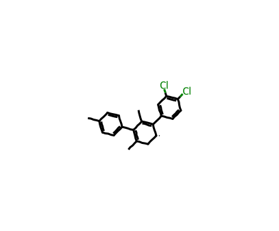 CC1=C(c2ccc(C)cc2)C(C)=C(c2ccc(Cl)c(Cl)c2)[CH]C1